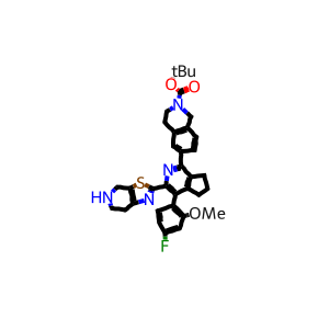 COc1cc(F)ccc1-c1c(-c2nc3c(s2)CNCC3)nc(-c2ccc3c(c2)CCN(C(=O)OC(C)(C)C)C3)c2c1CCC2